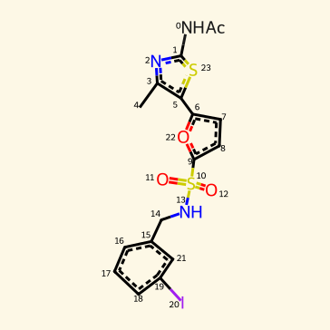 CC(=O)Nc1nc(C)c(-c2ccc(S(=O)(=O)NCc3cccc(I)c3)o2)s1